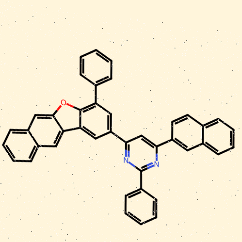 c1ccc(-c2nc(-c3ccc4ccccc4c3)cc(-c3cc(-c4ccccc4)c4oc5cc6ccccc6cc5c4c3)n2)cc1